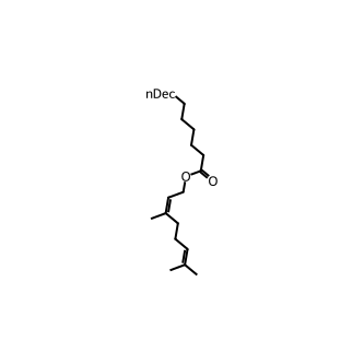 CCCCCCCCCCCCCCCC(=O)OCC=C(C)CCC=C(C)C